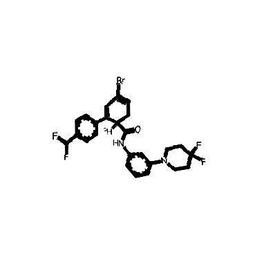 [2H]C1(C(=O)Nc2cccc(N3CCC(F)(F)CC3)c2)CC=C(Br)C=C1c1ccc(C(F)F)cc1